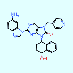 Nc1ccc2ncn(-c3ncc4c(n3)n([C@@H]3CC[C@@H](O)c5ccccc53)c(=O)n4Cc3ccncc3)c2c1